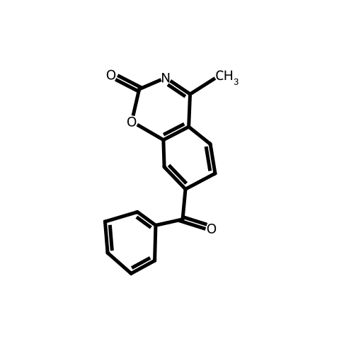 Cc1nc(=O)oc2cc(C(=O)c3ccccc3)ccc12